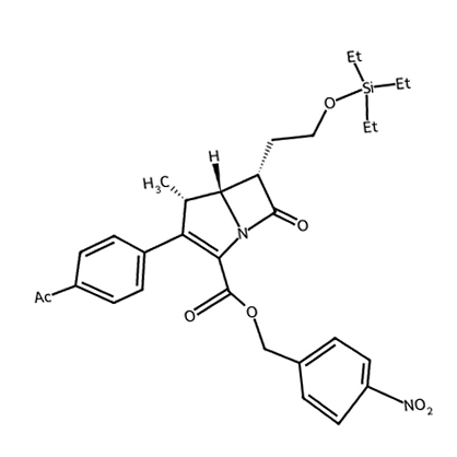 CC[Si](CC)(CC)OCC[C@@H]1C(=O)N2C(C(=O)OCc3ccc([N+](=O)[O-])cc3)=C(c3ccc(C(C)=O)cc3)[C@H](C)[C@H]12